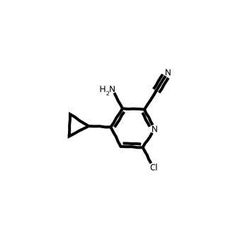 N#Cc1nc(Cl)cc(C2CC2)c1N